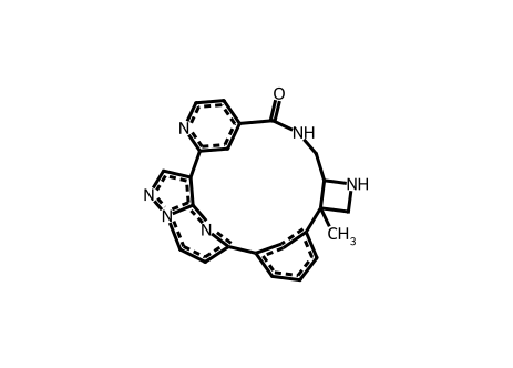 CC12CNC1CNC(=O)c1ccnc(c1)-c1cnn3ccc(nc13)-c1cccc2c1